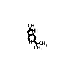 Cc1cc2cnc(C(C)C)cc2[nH]1